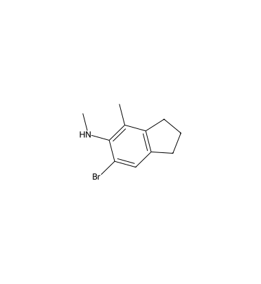 CNc1c(Br)cc2c(c1C)CCC2